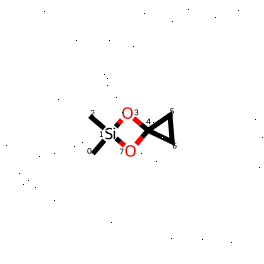 C[Si]1(C)OC2(CC2)O1